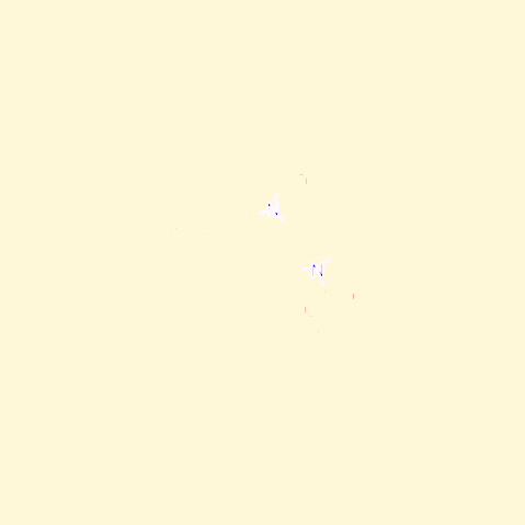 CC(C)(C)OC(=O)N1CCCC(N2C(=O)CCc3cc(Cl)ccc32)CC1